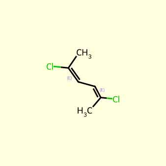 C/C(Cl)=C\C=C(/C)Cl